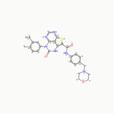 Bc1cc(N2C(=O)Nc3c(C(=O)Nc4ccc(CN5CCOCC5)cc4)sc4ncnc2c34)ccc1C